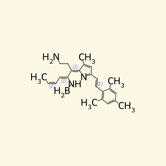 BNC(=C\C=C/C)/C(CCN)=C1N=C(/C=C/c2c(C)cc(C)cc2C)C=C\1C